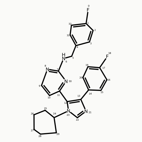 Fc1ccc(CNc2nccc(-c3c(-c4ccc(F)cc4)ncn3C3CCCCC3)n2)cc1